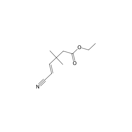 CCOC(=O)CC(C)(C)C=CC#N